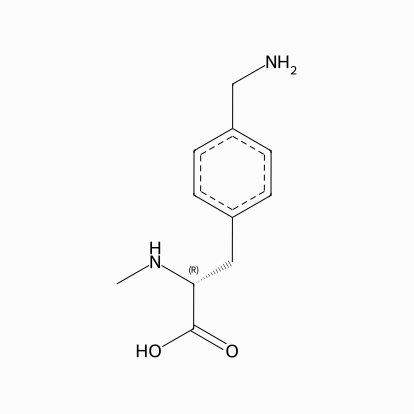 CN[C@H](Cc1ccc(CN)cc1)C(=O)O